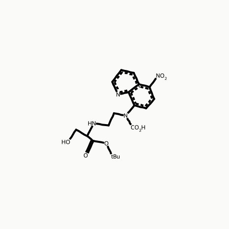 CC(C)(C)OC(=O)C(CO)NCCN(C(=O)O)c1ccc([N+](=O)[O-])c2cccnc12